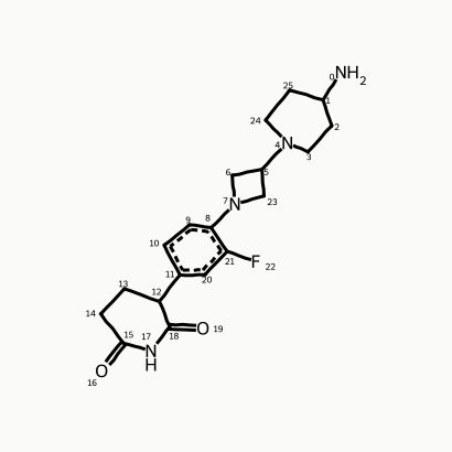 NC1CCN(C2CN(c3ccc(C4CCC(=O)NC4=O)cc3F)C2)CC1